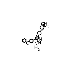 CP1(=O)CCN([C@H]2CC[C@@H](n3cc(-c4ccc(Oc5ccccc5)cc4)c4c(N)ncnc43)CC2)CC1